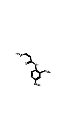 COc1ccc(NC(=O)/C=C\C(=O)O)c(OC)c1